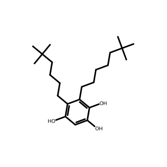 CC(C)(C)CCCCCc1c(O)c(O)cc(O)c1CCCCC(C)(C)C